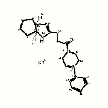 Cl.O=C(CSC1=N[C@@H]2CCCC[C@@H]2N1)N1CCN(c2ccccc2)CC1